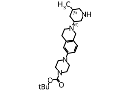 C[C@H]1CNC[C@@H](N2CCc3cc(N4CCN(C(=O)OC(C)(C)C)CC4)ccc3C2)C1